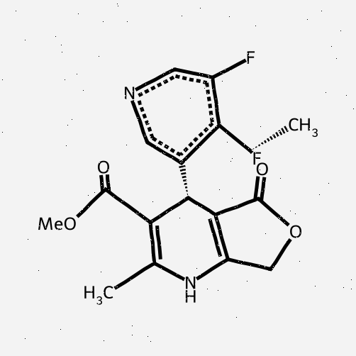 COC(=O)C1=C(C)NC2=C(C(=O)OC2)[C@H]1c1cncc(F)c1[C@H](C)F